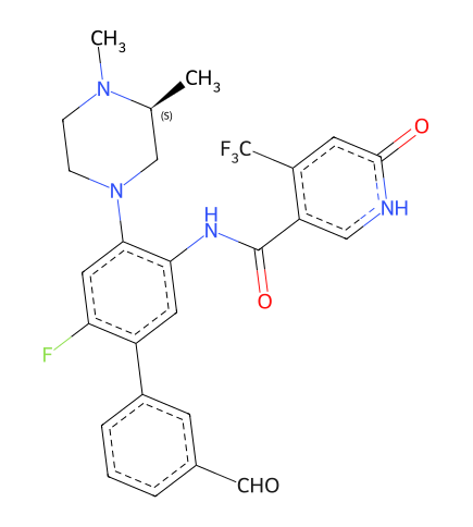 C[C@H]1CN(c2cc(F)c(-c3cccc(C=O)c3)cc2NC(=O)c2c[nH]c(=O)cc2C(F)(F)F)CCN1C